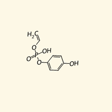 C=COP(=O)(O)Oc1ccc(O)cc1